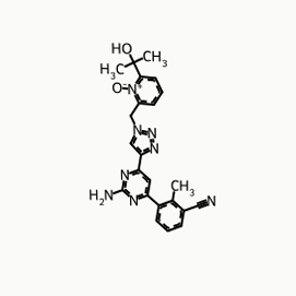 Cc1c(C#N)cccc1-c1cc(-c2cn(Cc3cccc(C(C)(C)O)[n+]3[O-])nn2)nc(N)n1